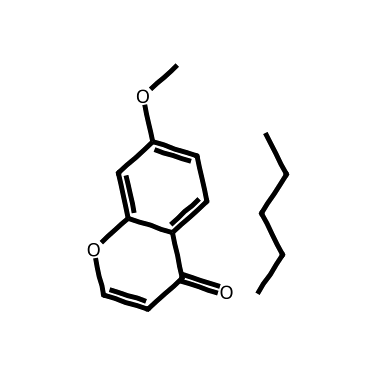 CCCCC.COc1ccc2c(=O)ccoc2c1